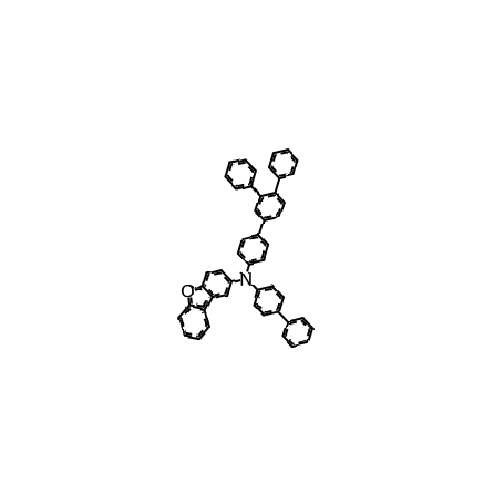 c1ccc(-c2ccc(N(c3ccc(-c4ccc(-c5ccccc5)c(-c5ccccc5)c4)cc3)c3ccc4oc5ccccc5c4c3)cc2)cc1